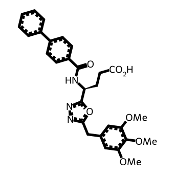 COc1cc(Cc2nnc([C@H](CCC(=O)O)NC(=O)c3ccc(-c4ccccc4)cc3)o2)cc(OC)c1OC